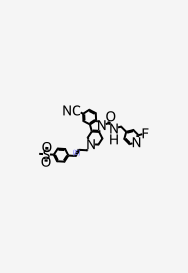 CS(=O)(=O)c1ccc(/C=C/CN2CCc3c(c4cc(C#N)ccc4n3C(=O)NCc3ccnc(F)c3)C2)cc1